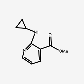 COC(=O)c1cccnc1NC1CC1